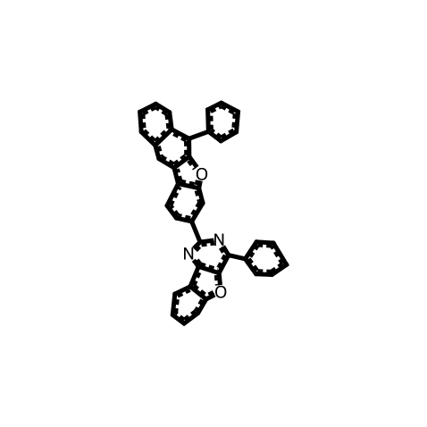 c1ccc(-c2c3ccccc3cc3c2oc2cc(-c4nc(-c5ccccc5)c5oc6ccccc6c5n4)ccc23)cc1